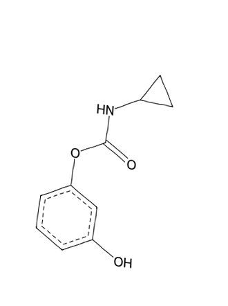 O=C(NC1CC1)Oc1cccc(O)c1